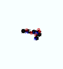 COC(=O)[C@H](Cc1ccc(OCCc2nc(-c3ccccc3)oc2C)cc1)Nc1ccccc1C(=O)c1cccnc1